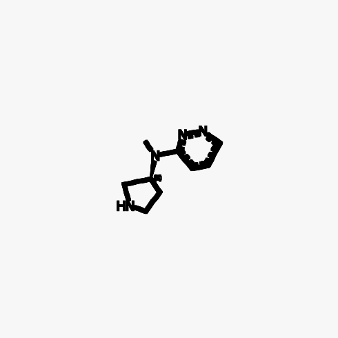 CN(c1cccnn1)[C@H]1CCNC1